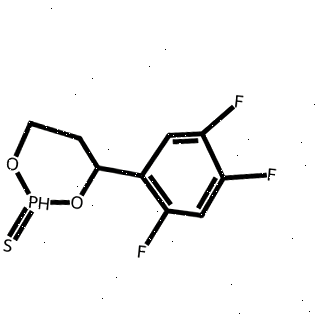 Fc1cc(F)c(C2CCO[PH](=S)O2)cc1F